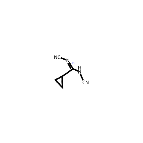 N#C/N=C(/NC#N)C1CC1